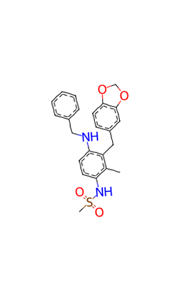 Cc1c(NS(C)(=O)=O)ccc(NCc2ccccc2)c1Cc1ccc2c(c1)OCO2